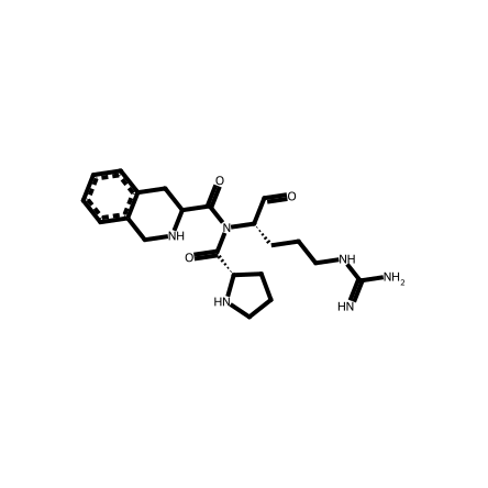 N=C(N)NCCC[C@@H](C=O)N(C(=O)C1Cc2ccccc2CN1)C(=O)[C@@H]1CCCN1